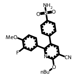 CCCCOc1nc(-c2ccc(OC)c(F)c2)c(-c2ccc(S(N)(=O)=O)cc2)cc1C#N